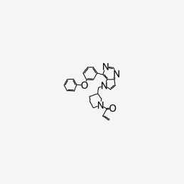 C=CC(=O)N1CCCC(Cn2ccc3ncnc(-c4cccc(Oc5ccccc5)c4)c32)C1